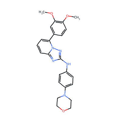 COc1ccc(-c2cccc3nc(Nc4ccc(N5CCOCC5)cc4)nn23)cc1OC